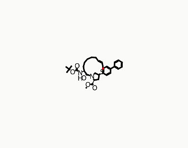 COC(=O)[C@@H]1C[C@@]2(c3ccc(-c4ccccc4)cc3)CN1C(=O)[C@@H](NC(=O)OC(C)(C)C)CCCCC/C=C/CS2